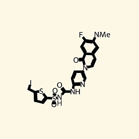 CNc1cc2ccn(-c3ccc(NC(=O)NS(=O)(=O)c4ccc(CI)s4)nc3)c(=O)c2cc1F